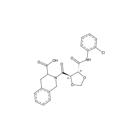 O=C(O)C1Cc2ccccc2CN1C(=O)[C@@H]1OCO[C@H]1C(=O)Nc1ccccc1Cl